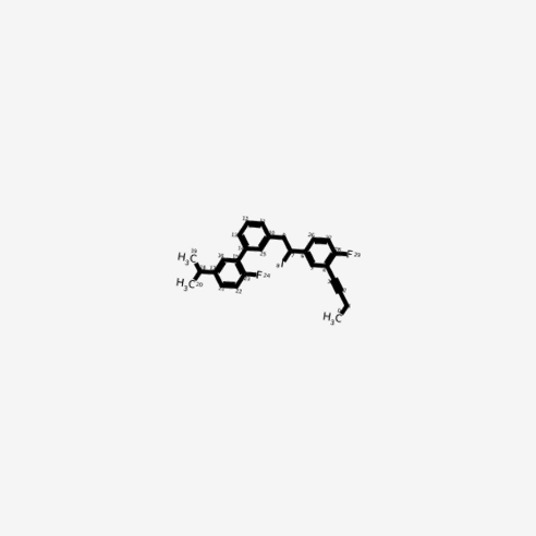 CCC#Cc1cc(C(I)Cc2cccc(-c3cc(C(C)C)ccc3F)c2)ccc1F